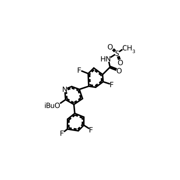 CC(C)COc1ncc(-c2cc(F)c(C(=O)NS(C)(=O)=O)cc2F)cc1-c1cc(F)cc(F)c1